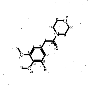 COc1cc(CC(=S)N2CCOCC2)cc(C)c1OC